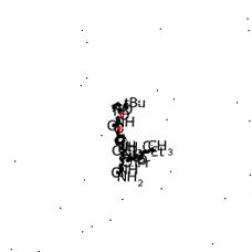 CCC(C)(C)CCC(=O)N[C@H](C(=O)N[C@@H](CCCNC(N)=O)C(=O)Nc1ccc(COC(=O)NCC(=O)N2CCC[C@@H]2C(=O)C(C)(C)C)cc1)C(C)C